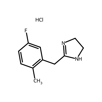 Cc1ccc(F)cc1CC1=NCCN1.Cl